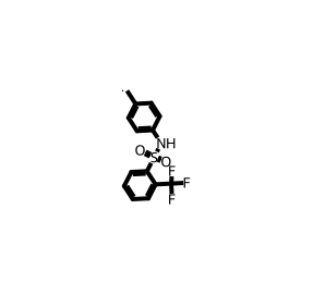 [CH2]c1ccc(NS(=O)(=O)c2ccccc2C(F)(F)F)cc1